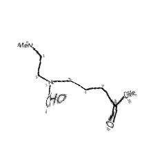 CNCCN(C=O)CCCC(=O)OC